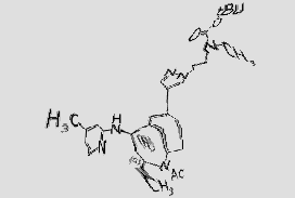 CC(=O)N1c2ccc(-c3cnn(CCN(C)C(=O)OC(C)(C)C)c3)cc2[C@H](Nc2cc(C)ccn2)C[C@@H]1C